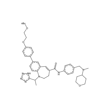 CCCCOCCOc1ccc(-c2ccc3c(c2)C=C(C(=O)Nc2ccc(CN(C)C4CCOCC4)cc2)CCN3C(C)c2nnn[nH]2)cc1